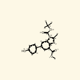 COC(=O)c1cc(-c2ccc(O)cc2)cc2c1nc(C)n2C(=O)OC(C)(C)C